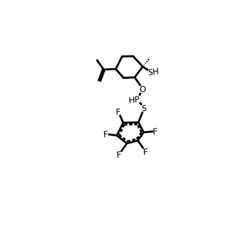 C=C(C)C1CC[C@@](C)(S)C(OPSc2c(F)c(F)c(F)c(F)c2F)C1